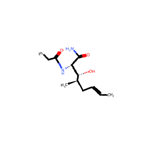 C/C=C/C[C@@H](C)[C@@H](O)[C@H](NC(=O)CC(C)C)C(N)=O